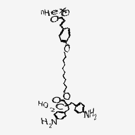 CCCCCCOC(=O)/C=C/c1ccc(OCCCCCCCCCCCOC(=O)C(Cc2ccc(N)cc2)(Cc2ccc(N)cc2)C(=O)O)cc1